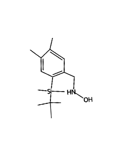 Cc1cc(CNO)c([Si](C)(C)C(C)(C)C)cc1C